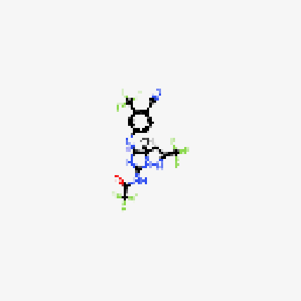 CC12CC(C(F)(F)F)=NN1C(NC(=O)C(F)(F)F)=N/C2=N/c1ccc(C#N)c(C(F)(F)F)c1